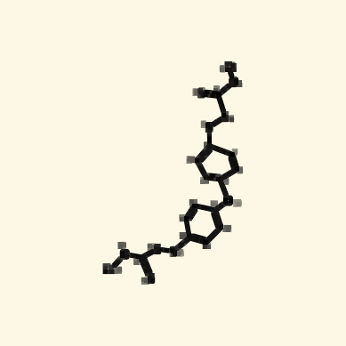 CCOC(=S)SSc1ccc(Oc2ccc(SSC(=S)OCC)cc2)cc1